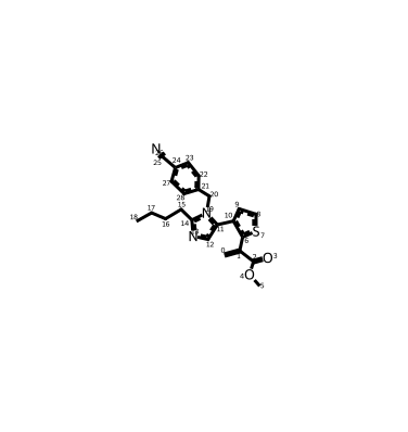 C=C(C(=O)OC)c1sccc1-c1cnc(CCCC)n1Cc1ccc(C#N)cc1